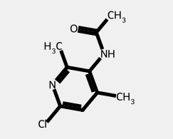 CC(=O)Nc1c(C)cc(Cl)nc1C